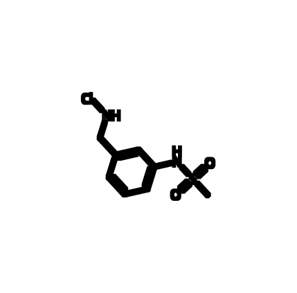 CS(=O)(=O)Nc1cccc(CNCl)c1